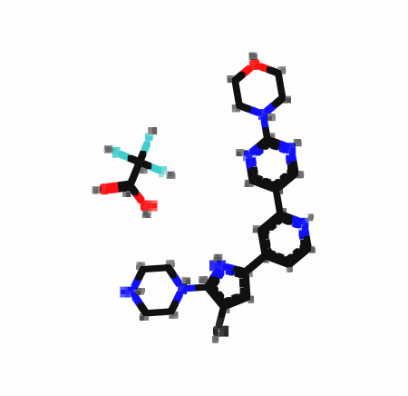 N#Cc1cc(-c2ccnc(-c3cnc(N4CCOCC4)nc3)c2)[nH]c1N1CCNCC1.O=C(O)C(F)(F)F